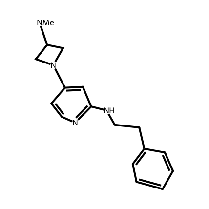 CNC1CN(c2ccnc(NCCc3ccccc3)c2)C1